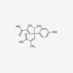 CCC(C=C(C)C(=O)O)(C=C(C)C(=O)O)c1ccc(O)cc1